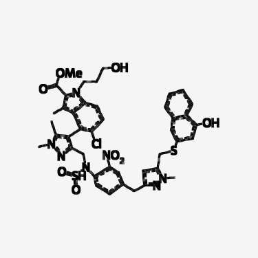 COC(=O)c1c(C)c2c(-c3c(CN(c4ccc(Cc5cc(CSc6cc(O)c7ccccc7c6)n(C)n5)cc4[N+](=O)[O-])[SH](=O)=O)nn(C)c3C)c(Cl)ccc2n1CCCO